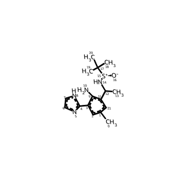 Cc1cc(-c2ncc[nH]2)c(N)c(C(C)N[S@+]([O-])C(C)(C)C)c1